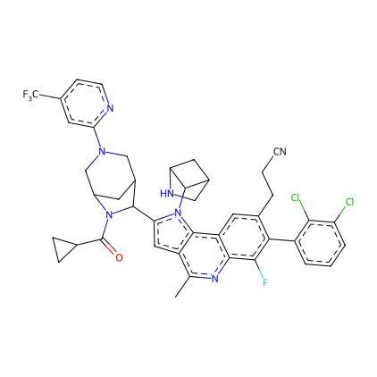 Cc1nc2c(F)c(-c3cccc(Cl)c3Cl)c(CCC#N)cc2c2c1cc(C1C3CC(CN(c4cc(C(F)(F)F)ccn4)C3)N1C(=O)C1CC1)n2C1C2CNC1C2